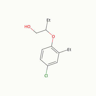 CCc1cc(Cl)ccc1OC(CC)CO